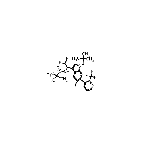 CC(C)(C)Cn1cc(C(N[S@@+]([O-])C(C)(C)C)C(F)F)c2cc(F)c(-c3cccnc3C(F)(F)F)cc21